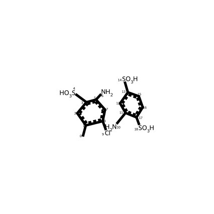 Cc1cc(S(=O)(=O)O)c(N)cc1Cl.Nc1cc(S(=O)(=O)O)ccc1S(=O)(=O)O